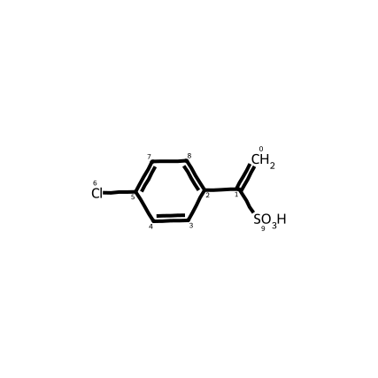 C=C(c1ccc(Cl)cc1)S(=O)(=O)O